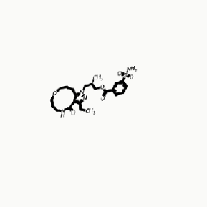 CCc1nn(C[C@@H](C)COC(=O)c2cccc(S(N)(=O)=O)c2)c2c1C(=O)NCCCOCCC2